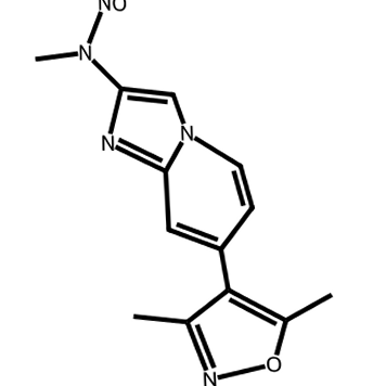 Cc1noc(C)c1-c1ccn2cc(N(C)N=O)nc2c1